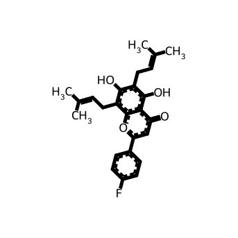 CC(C)=CCc1c(O)c(CC=C(C)C)c2oc(-c3ccc(F)cc3)cc(=O)c2c1O